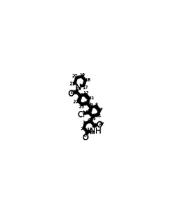 O=C1CCC(c2cccc(-c3ccc(C(=O)N4CCCCC4)cc3)c2Cl)C(=O)N1